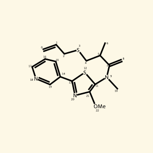 C=CCSCC(C)C(=C)N(C)c1sc(-c2cccnc2)nc1OC